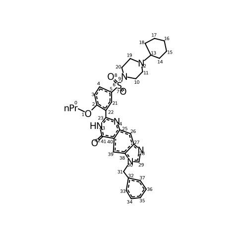 CCCOc1ccc(S(=O)(=O)N2CCN(C3CCCCC3)CC2)cc1-c1nc2cc3ncn(Cc4ccccc4)c3cc2c(=O)[nH]1